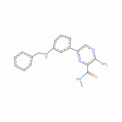 CNC(=O)c1nc(-c2cccc(NCc3ccccc3)c2)cnc1N